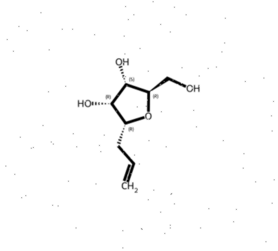 C=CC[C@H]1O[C@H](CO)[C@@H](O)[C@H]1O